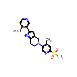 COc1ccncc1-c1cc2c([nH]1)CCN(c1cnc(S(C)(=O)=O)cc1C)C2